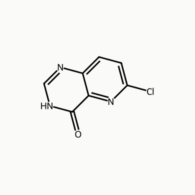 O=c1[nH]cnc2ccc(Cl)nc12